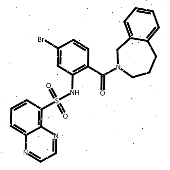 O=C(c1ccc(Br)cc1NS(=O)(=O)c1cccc2nccnc12)N1CCCc2ccccc2C1